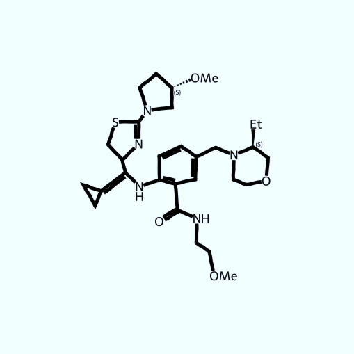 CC[C@H]1COCCN1Cc1ccc(NC(=C2CC2)C2CSC(N3CC[C@H](OC)C3)=N2)c(C(=O)NCCOC)c1